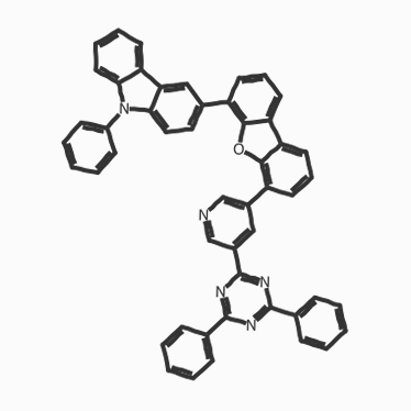 c1ccc(-c2nc(-c3ccccc3)nc(-c3cncc(-c4cccc5c4oc4c(-c6ccc7c(c6)c6ccccc6n7-c6ccccc6)cccc45)c3)n2)cc1